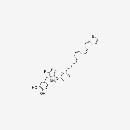 CC/C=C\C/C=C\C/C=C\C/C=C\C/C=C\CCCC(=O)OC(C)OC(=O)[C@@](N)(Cc1ccc(O)c(O)c1)C(F)F